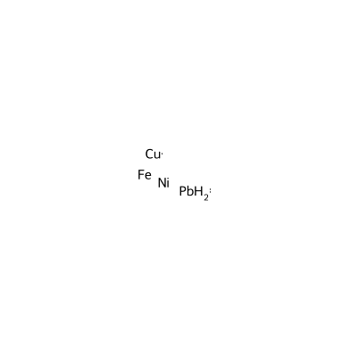 [Cu].[Fe].[Ni].[PbH2]